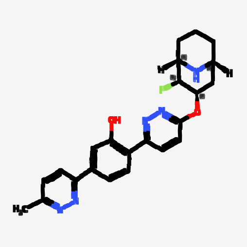 Cc1ccc(-c2ccc(-c3ccc(O[C@@H]4C[C@H]5CCC[C@H](N5)[C@@H]4F)nn3)c(O)c2)nn1